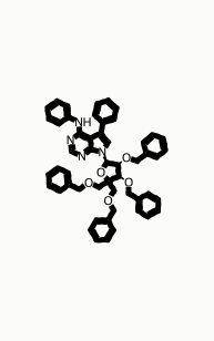 c1ccc(COCC2(COCc3ccccc3)O[C@@H](n3cc(-c4ccccc4)c4c(Nc5ccccc5)ncnc43)[C@H](OCc3ccccc3)[C@@H]2OCc2ccccc2)cc1